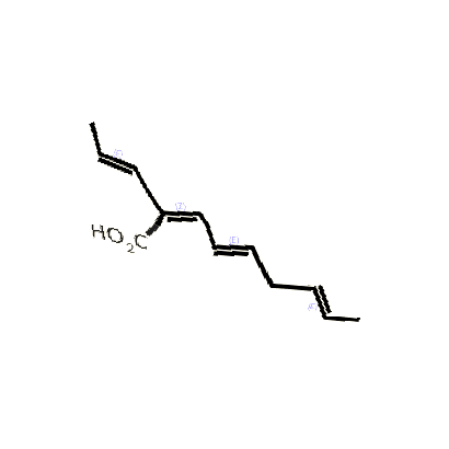 C/C=C/C/C=C/C=C(/C=C/C)C(=O)O